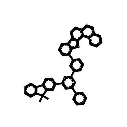 CC1(C)c2ccccc2-c2ccc(-c3cc(-c4ccccc4)nc(-c4cccc(-c5cccc6c5oc5c6ccc6ccc7ccccc7c65)c4)n3)cc21